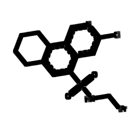 CC(C)CNS(=O)(=O)c1cc2c(c3cnc(Cl)cc13)CCCC2